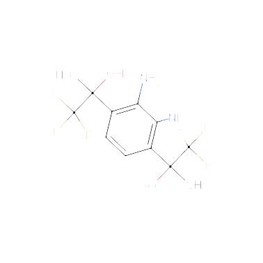 CC(O)(c1ccc(C(C)(O)C(F)(F)F)c(N)c1N)C(F)(F)F